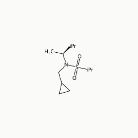 CC(C)[C@H](C)N(CC1CC1)S(=O)(=O)C(C)C